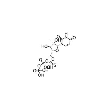 C[C@@]1(O)[C@H](O)[C@@H](CO[P@@](O)(=S)OP(=O)(O)OP(=O)(O)O)O[C@H]1n1ccc(=O)[nH]c1=O